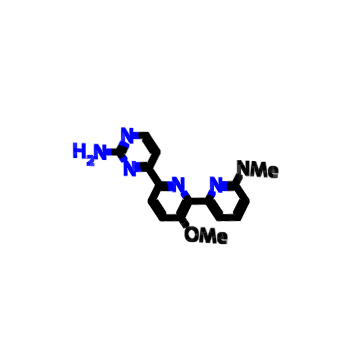 CNc1cccc(-c2nc(-c3ccnc(N)n3)ccc2OC)n1